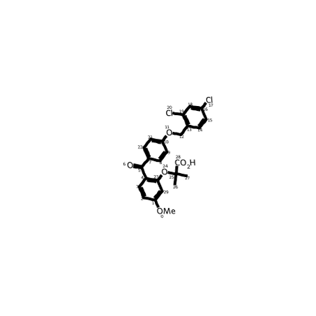 COc1ccc(C(=O)c2ccc(OCc3ccc(Cl)cc3Cl)cc2)c(OC(C)(C)C(=O)O)c1